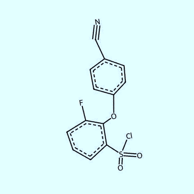 N#Cc1ccc(Oc2c(F)cccc2S(=O)(=O)Cl)cc1